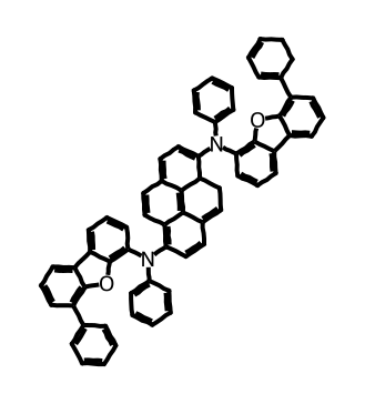 C1=CCCC(c2cccc3c2oc2c(N(C4=CC=c5ccc6c(N(c7ccccc7)c7cccc8c7oc7c(-c9ccccc9)cccc78)ccc7c6c5C4CC=7)c4ccccc4)cccc23)=C1